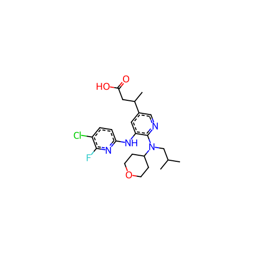 CC(C)CN(c1ncc(C(C)CC(=O)O)cc1Nc1ccc(Cl)c(F)n1)C1CCOCC1